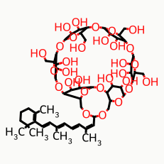 CC(=CC1OCC2OC3OC4C(CO1)OC(OC1C(CO)OC(OC5C(CO)OC(OC6C(CO)OC(OC7C(CO)OC(OC2C(O)C3O)C(O)C7O)C(O)C6O)C(O)C5O)C(O)C1O)C(O)C4O)/C=C/C=C(C)/C=C/C1=C(C)CCCC1(C)C